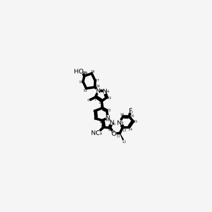 Cc1c(-c2ccc3c(C#N)c(O[C@H](C)c4ccc(F)cn4)nn3c2)cnn1C1CCC(O)CC1